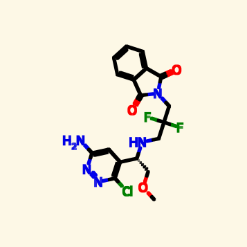 COC[C@@H](NCC(F)(F)CN1C(=O)c2ccccc2C1=O)c1cc(N)nnc1Cl